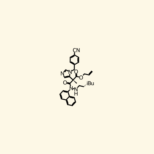 C=CCOC(=O)[C@](C)(C(=O)N(NCC[C@@H](C)CC)c1cccc2ccccc12)c1cncn1Cc1ccc(C#N)cc1